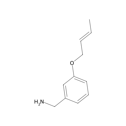 CC=CCOc1cccc(CN)c1